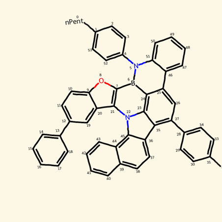 CCCCCc1ccc(N2B3c4oc5ccc(-c6ccccc6)cc5c4-n4c5c3c(cc(-c3ccc(C(C)(C)C)cc3)c5c3ccc5ccccc5c34)-c3ccccc32)cc1